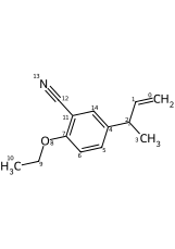 C=C[C](C)c1ccc(OCC)c(C#N)c1